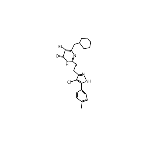 CCc1c(CC2CCCCC2)nc(SCc2n[nH]c(-c3ccc(C)cc3)c2Cl)[nH]c1=O